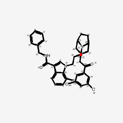 CCc1cccc2c(C(=O)NCc3ccccc3)cn(CCCN3C4CCC3CN(CC(=O)c3cc(Cl)cc(Cl)c3)C4)c12